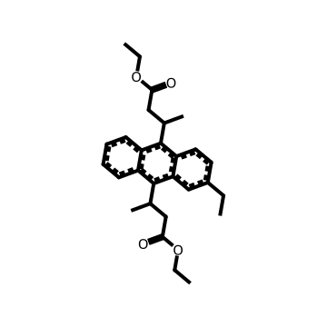 CCOC(=O)CC(C)c1c2ccccc2c(C(C)CC(=O)OCC)c2cc(CC)ccc12